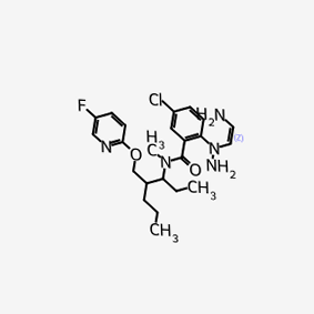 CCCC(COc1ccc(F)cn1)C(CC)N(C)C(=O)c1cc(Cl)ccc1N(N)/C=C\N